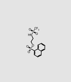 O=S(=O)(OCCNS(=O)(=O)C(F)(F)F)c1cccc2ccccc12